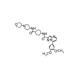 COc1ccc(-c2ccnc3cc(C(=O)NC4CCC(C(=O)NC5CCN(C6CCOCC6)CC5)CC4)nn23)cc1OC